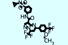 CCOc1cc(-c2cc(C(F)(F)F)n3ncc(C(=O)Nc4cccc(S(=O)(=O)NC5CC5)c4)c3n2)ccc1C(F)(F)F